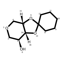 O[C@H]1COC[C@@H]2OC3(CCCCC3)O[C@@H]21